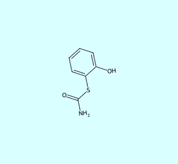 NC(=O)Sc1ccccc1O